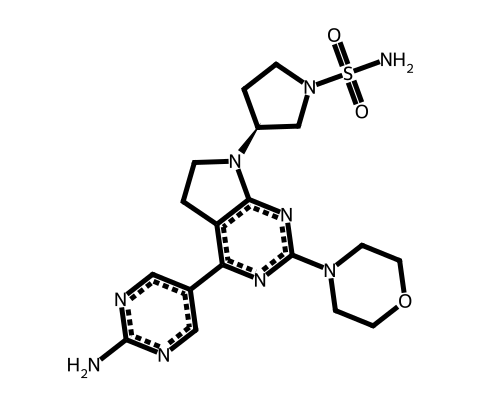 Nc1ncc(-c2nc(N3CCOCC3)nc3c2CCN3[C@H]2CCN(S(N)(=O)=O)C2)cn1